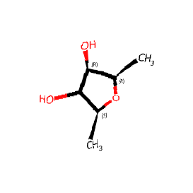 C[C@@H]1O[C@H](C)[C@H](O)C1O